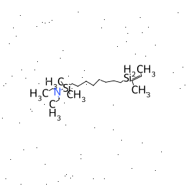 CC=C(C)[SiH2]CCCCCCCC[Si](C)(C)N(CC)CC